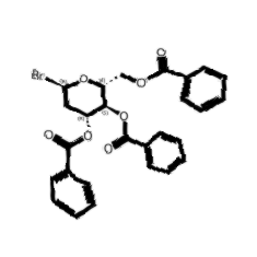 O=C(OC[C@H]1O[C@H](Br)C[C@@H](OC(=O)c2ccccc2)[C@@H]1OC(=O)c1ccccc1)c1ccccc1